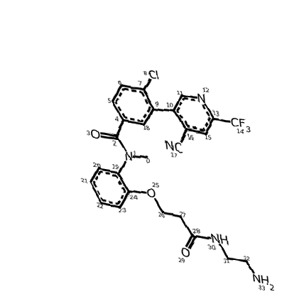 CN(C(=O)c1ccc(Cl)c(-c2cnc(C(F)(F)F)cc2C#N)c1)c1ccccc1OCCC(=O)NCCN